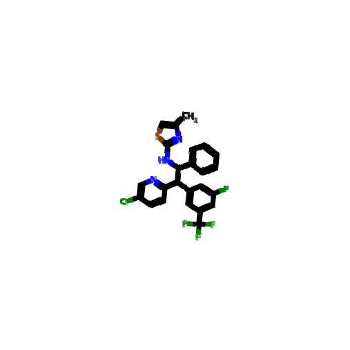 Cc1csc(NC(c2ccccc2)C(c2cc(F)cc(C(F)(F)F)c2)c2ccc(Cl)cn2)n1